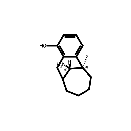 C[C@@]12CCCCC(Cc3c(O)cccc31)[C@@H]2N